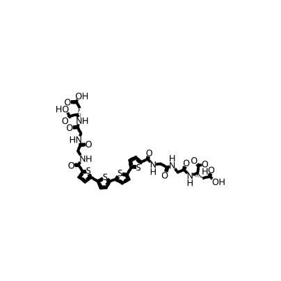 O=C(O)C[C@H](NC(=O)CNC(=O)CNC(=O)c1ccc(-c2ccc(-c3ccc(-c4ccc(C(=O)NCC(=O)NCC(=O)N[C@@H](CC(=O)O)C(=O)O)s4)s3)s2)s1)C(=O)O